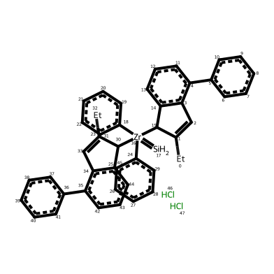 CCC1=Cc2c(-c3ccccc3)cccc2[CH]1[Zr](=[SiH2])([c]1ccccc1)([c]1ccccc1)[CH]1C(CC)=Cc2c(-c3ccccc3)cccc21.Cl.Cl